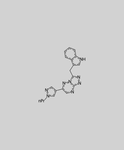 CCCn1cc(-c2cnc3nnc(Cc4c[nH]c5ccccc45)n3n2)cn1